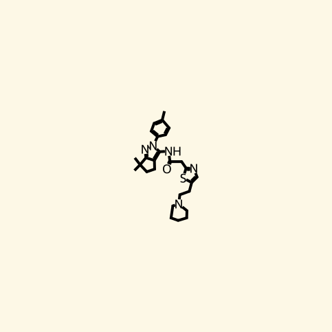 Cc1ccc(-n2nc3c(c2NC(=O)Cc2ncc(CCN4CCCCC4)s2)CCC3(C)C)cc1